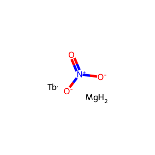 O=[N+]([O-])[O-].[MgH2].[Tb]